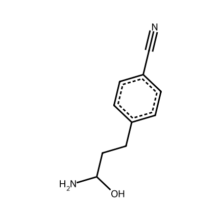 N#Cc1ccc(CCC(N)O)cc1